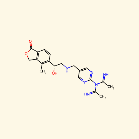 CC(=N)N(C(C)=N)c1ncc(CNC[C@H](O)c2ccc3c(c2C)COC3=O)cn1